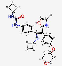 Cc1coc(-c2c(-c3ccc(NC(=O)NC4CCC4)cc3)n(C3CCC3)c3cc(OC4CCOCC4)ccc23)n1